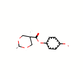 CCCC[C@H]1OC[C@@](C#N)(C(=O)Oc2ccc(OCC)cc2)CO1